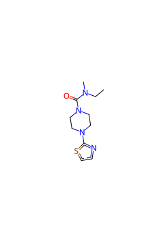 CCN(C)C(=O)N1CCN(c2nccs2)CC1